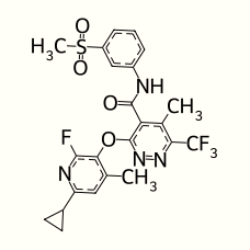 Cc1cc(C2CC2)nc(F)c1Oc1nnc(C(F)(F)F)c(C)c1C(=O)Nc1cccc(S(C)(=O)=O)c1